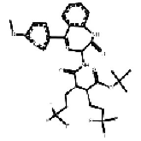 COc1ccc(C2=NC(NC(=O)[C@H](CCC(F)(F)F)[C@H](CCC(F)(F)F)C(=O)OC(C)(C)C)C(=O)Nc3ccccc32)cc1